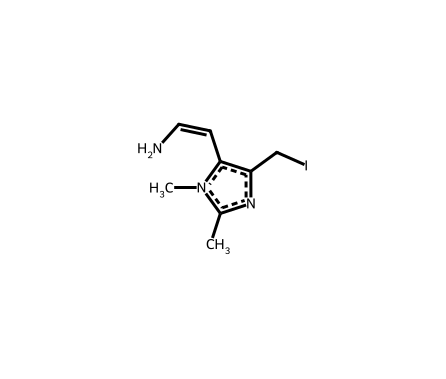 Cc1nc(CI)c(/C=C\N)n1C